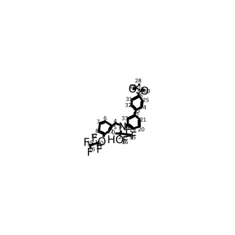 CC(O)(N(Cc1cccc(OC(F)(F)C(F)F)c1)c1cccc(-c2ccc(S(C)(=O)=O)cc2)c1)C(F)(F)F